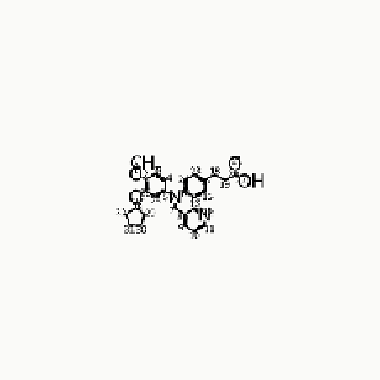 COc1ccc(N(Cc2cccnc2)c2ccc(CCC(=O)O)cc2)cc1OC1CCCC1